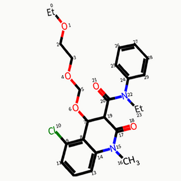 CCOCCOCOC1c2c(Cl)cccc2N(C)C(=O)C1C(=O)N(CC)c1ccccc1